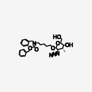 C[C@@H]1C(N=[N+]=[N-])[C@@H](OCCCCCN(Cc2ccccc2)C(=O)OCc2ccccc2)OC(CO)[C@H]1O